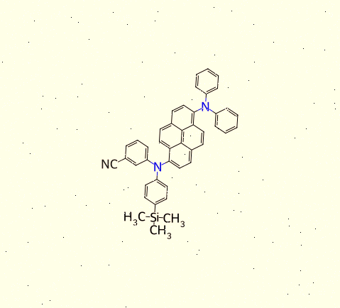 C[Si](C)(C)c1ccc(N(c2cccc(C#N)c2)c2ccc3ccc4c(N(c5ccccc5)c5ccccc5)ccc5ccc2c3c54)cc1